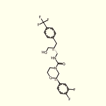 O=C(NC[C@H](CO)Cc1ccc(C(F)(F)F)cc1)N1CCO[C@H](c2ccc(F)c(F)c2)C1